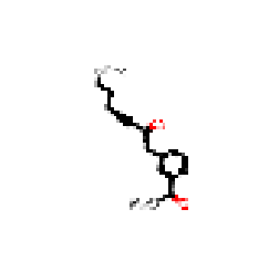 CCCCCCCCCCCCCC#CC(=O)Cc1cccc(C(=O)OC)c1